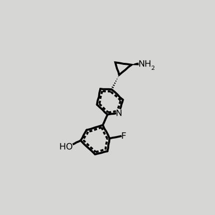 N[C@@H]1C[C@H]1c1ccc(-c2cc(O)ccc2F)nc1